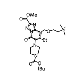 CCc1c(N2CCN(C(=O)OC(C)(C)C)CC2)c(=O)n2nc(C(=O)OC)nc2n1COCC[Si](C)(C)C